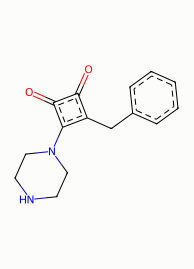 O=c1c(Cc2ccccc2)c(N2CCNCC2)c1=O